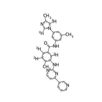 [2H]c1c([2H])c(C(=O)Nc2cc(C)cc(-n3c([2H])nc(C)c3[2H])c2)c([2H])c(Nc2nccc(-c3cccnc3)n2)c1C